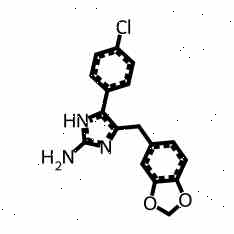 Nc1nc(Cc2ccc3c(c2)OCO3)c(-c2ccc(Cl)cc2)[nH]1